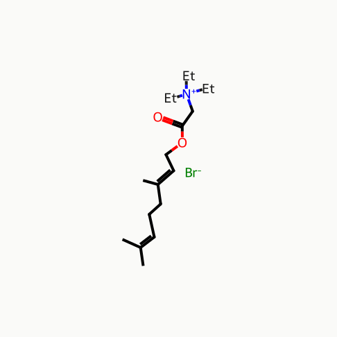 CC[N+](CC)(CC)CC(=O)OC/C=C(\C)CCC=C(C)C.[Br-]